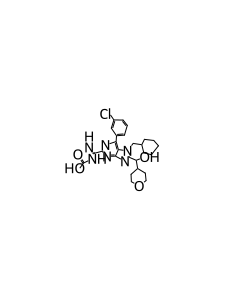 N=C(NC(=O)O)c1nc(-c2cccc(Cl)c2)c2c(n1)nc(C(O)C1CCOCC1)n2CC1CCCCC1